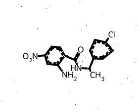 CC(NC(=O)c1ccc([N+](=O)[O-])cc1N)c1ccc(Cl)cc1